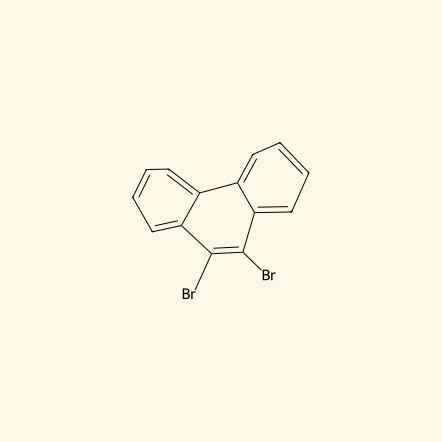 Brc1c(Br)c2ccccc2c2ccccc12